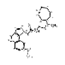 COc1ccc2c(c1)-c1c(cnn1CC(=O)NCCN(C)C1CCCCCCC1)CO2